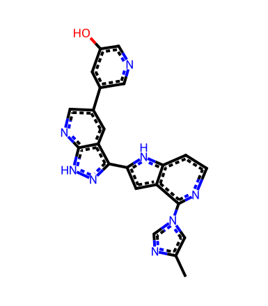 Cc1cn(-c2nccc3[nH]c(-c4n[nH]c5ncc(-c6cncc(O)c6)cc45)cc23)cn1